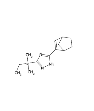 CC[Si](C)(C)c1n[nH]c(C2=CC3CCC2C3)n1